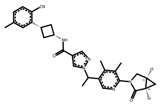 Cc1ccc(C#N)c([C@H]2C[C@@H](NC(=O)c3cnn(C(C)c4cnc(N5C[C@H]6C[C@H]6C5=O)c(C)c4C)c3)C2)c1